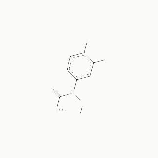 CCOC(=O)ON(C(=O)NC)c1ccc(Cl)c(Cl)c1